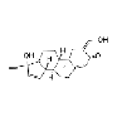 C#C[C@]1(O)C=C[C@H]2[C@@H]3CCC4=CC(=O)/C(=C\O)C[C@]4(C)[C@H]3CC[C@@]21C